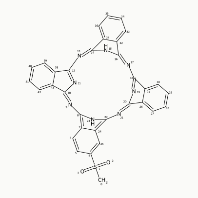 CS(=O)(=O)c1ccc2c3nc4nc(nc5[nH]c(nc6nc(nc([nH]3)c2c1)-c1ccccc1-6)c1ccccc51)-c1ccccc1-4